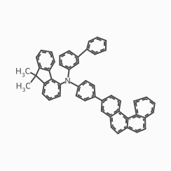 CC1(C)c2ccccc2-c2c(N(c3ccc(-c4ccc5c(ccc6ccc7ccccc7c65)c4)cc3)c3cccc(-c4ccccc4)c3)cccc21